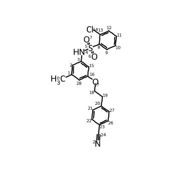 Cc1cc(NS(=O)(=O)c2ccccc2Cl)cc(OCCc2ccc(C#N)cc2)c1